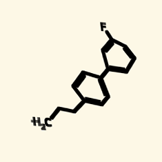 [CH2]CCc1ccc(-c2cccc(F)c2)cc1